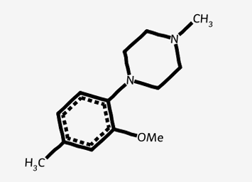 COc1cc(C)ccc1N1CCN(C)CC1